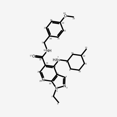 CCn1ncc2c([AsH]C3CCCC(C)C3)c(C(=O)NCc3ccc(OC)cc3)cnc21